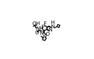 CC1CCCN1C(=O)c1nc(C(=O)NCC(C)(C)O)sc1-c1cnc(NCC2CCC2)cc1C(F)F